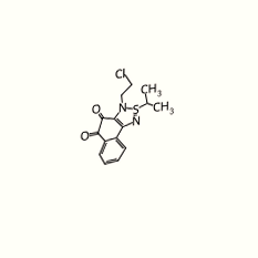 CC(C)S1=NC2=C(C(=O)C(=O)c3ccccc32)N1CCCl